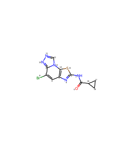 O=C(Nc1nc2cc(Br)c3nncn3c2s1)C1CC1